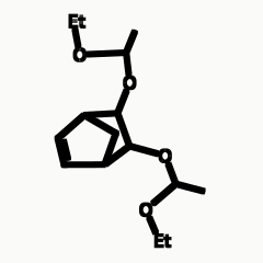 CCOC(C)OC1C2C=CC(C2)C1OC(C)OCC